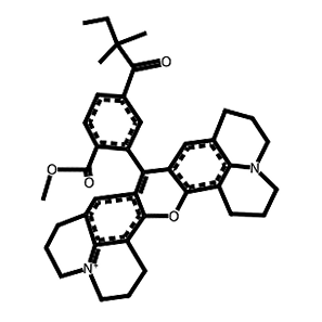 CCC(C)(C)C(=O)c1ccc(C(=O)OC)c(C2=c3cc4c5c(c3Oc3c2cc2c6c3CCCN6CCC2)CCC[N+]=5CCC4)c1